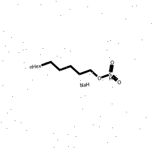 CCCCCCCCCCCO[SH](=O)=O.[NaH]